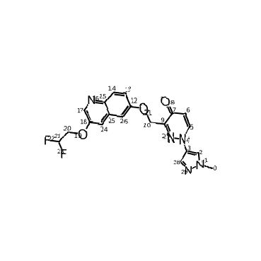 Cn1cc(-n2ccc(=O)c(COc3ccc4ncc(OCC(F)F)cc4c3)n2)cn1